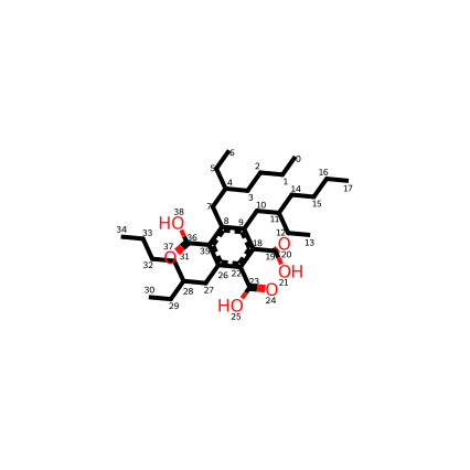 CCCCC(CC)Cc1c(CC(CC)CCCC)c(C(=O)O)c(C(=O)O)c(CC(CC)CCCC)c1C(=O)O